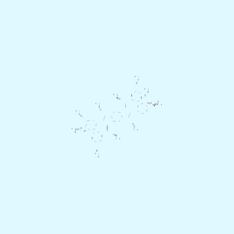 N#CC1=C(c2ccc(C#N)c(C#N)c2)/C(=C(/C#N)c2cc(C#N)cc(C#N)c2)c2cc3c(cc21)/C(=C(\C#N)c1cc(C#N)cc(C#N)c1)C(c1ccc(C#N)c(C#N)c1)=C3C#N